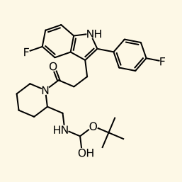 CC(C)(C)OC(O)NCC1CCCCN1C(=O)CCc1c(-c2ccc(F)cc2)[nH]c2ccc(F)cc12